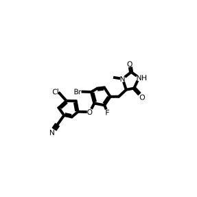 CN1C(=O)NC(=O)C1Cc1ccc(Br)c(Oc2cc(Cl)cc(C#N)c2)c1F